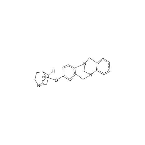 c1ccc2c(c1)CN1CN2Cc2cc(O[C@H]3CN4CCC3CC4)ccc21